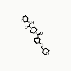 O=C(Nc1cccnc1)N1CCN(C(=O)c2cccc(OCC3CCOCC3)c2)CC1